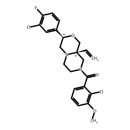 C=C[C@]12CO[C@H](c3ccc(F)c(Cl)c3)CN1CCN(C(=O)c1cccc(OC)c1Cl)C2